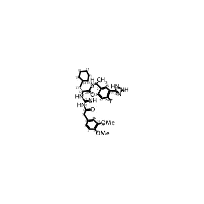 COc1ccc(CC(=O)NC(=N)N[C@H](CC2CCCCC2)C(=O)N[C@@H](C)c2ccc(F)c(-c3n[nH][nH]3)c2)cc1OC